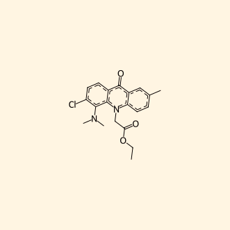 CCOC(=O)Cn1c2ccc(C)cc2c(=O)c2ccc(Cl)c(N(C)C)c21